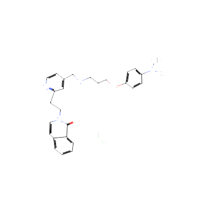 CC(=O)N(C)c1ccc(OCCCNCc2ccnc(CCn3ccc4ccccc4c3=O)c2)cc1.Cl.Cl